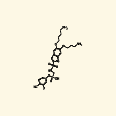 N#Cc1ccc(OP(=O)(O)CNS(=O)(=O)c2cc3cc(OCCCCN)c(OCCCN)cc3s2)cc1F